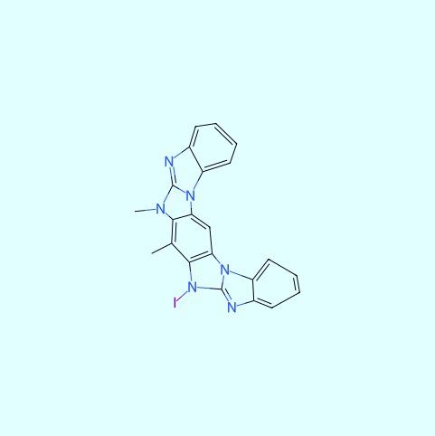 Cc1c2c(cc3c1n(I)c1nc4ccccc4n31)n1c3ccccc3nc1n2C